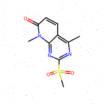 Cc1nc(S(C)(=O)=O)nc2c1ccc(=O)n2C